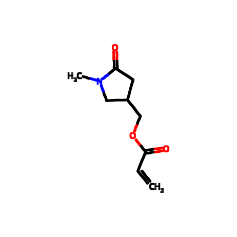 C=CC(=O)OCC1CC(=O)N(C)C1